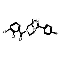 O=C(c1cccc(Cl)c1Cl)N1CCn2c(nnc2-c2ccc(F)cc2)C1